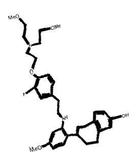 COCCN(CCOC)CCOc1ccc(CCNc2cc(OC)ccc2C2CCc3cc(O)ccc3C2)cc1F